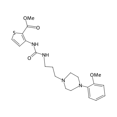 COC(=O)c1sccc1NC(=O)NCCCN1CCN(c2ccccc2OC)CC1